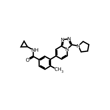 Cc1ccc(C(=O)NC2CC2)cc1-c1ccn2c(N3CCCC3)nnc2c1